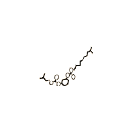 CC(C)CCCCCCCCOC(=O)OC1CCCC(OC(=O)OCCC(C)C)C1